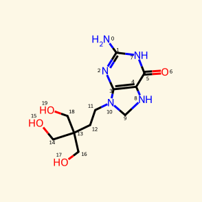 Nc1nc2c(c(=O)[nH]1)NCN2CCC(CO)(CO)CO